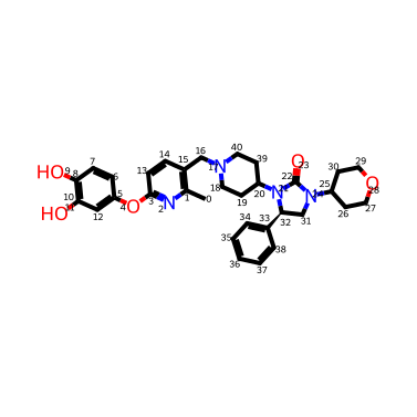 Cc1nc(Oc2ccc(O)c(O)c2)ccc1CN1CCC(N2C(=O)N(C3CCOCC3)C[C@H]2c2ccccc2)CC1